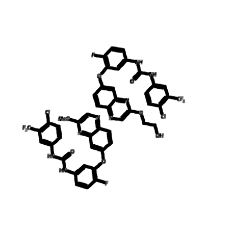 COc1cnc2ccc(Oc3cc(NC(=O)Nc4ccc(Cl)c(C(F)(F)F)c4)ccc3F)cc2n1.O=C(Nc1ccc(F)c(Oc2ccc3ncc(OCCO)nc3c2)c1)Nc1ccc(Cl)c(C(F)(F)F)c1